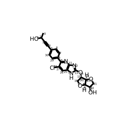 CC(O)C#Cc1ccc(-c2nc3nc(O[C@@H]4CO[C@H]5[C@@H]4OC[C@H]5O)[nH]c3cc2Cl)cc1